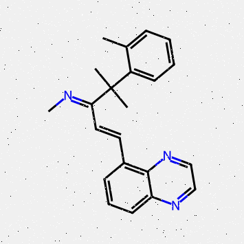 C/N=C(\C=C\c1cccc2nccnc12)C(C)(C)c1ccccc1C